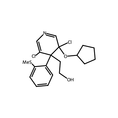 CSc1ccccc1C1(CCO)C(Cl)=CN=CC1(Cl)OC1CCCC1